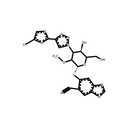 COC1C(n2cc(-c3nc(Cl)cs3)nn2)[C@@H](O)C(CO)O[C@@H]1Sc1cc2scnc2cc1C#N